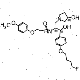 COc1ccc(OCCC(=O)N[C@H](CN2CC[C@@H](O)C2)[C@@H](O)c2ccc(OCCCCF)cc2)cc1